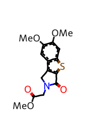 COC(=O)CN1Cc2c(sc3cc(OC)c(OC)cc23)C1=O